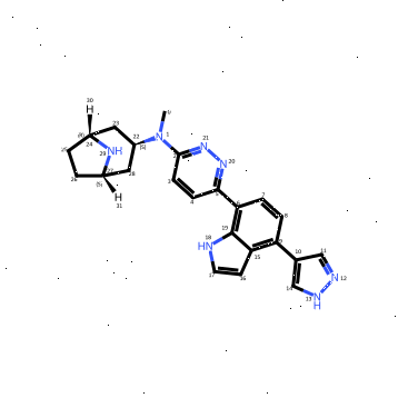 CN(c1ccc(-c2ccc(-c3cn[nH]c3)c3cc[nH]c23)nn1)[C@@H]1C[C@H]2CC[C@@H](C1)N2